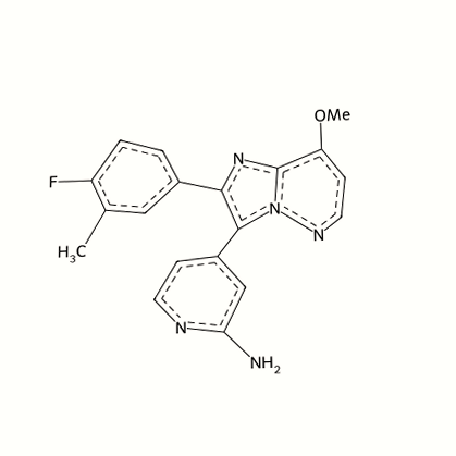 COc1ccnn2c(-c3ccnc(N)c3)c(-c3ccc(F)c(C)c3)nc12